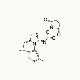 Cc1ccc2c(c1)N1C(=CC2C)CS/C1=N\C(=O)ON1C(=O)CCC1=O